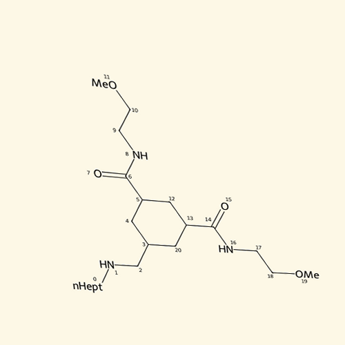 CCCCCCCNCC1CC(C(=O)NCCOC)CC(C(=O)NCCOC)C1